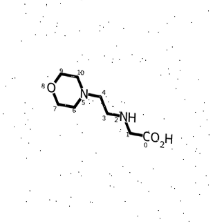 O=C(O)CNCCN1CCOCC1